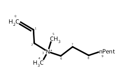 C=CC[N+](C)(C)CCCCCCCC